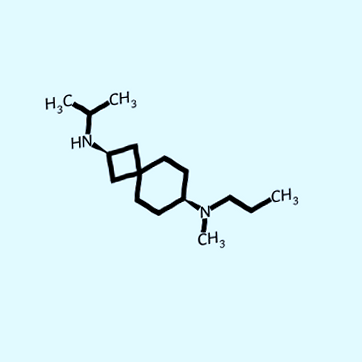 CCCN(C)[C@H]1CCC2(CC1)C[C@H](NC(C)C)C2